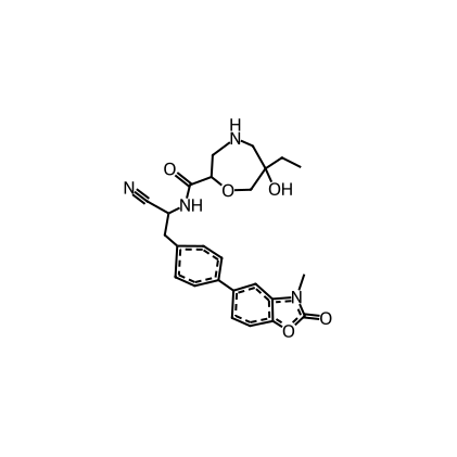 CCC1(O)CNCC(C(=O)NC(C#N)Cc2ccc(-c3ccc4oc(=O)n(C)c4c3)cc2)OC1